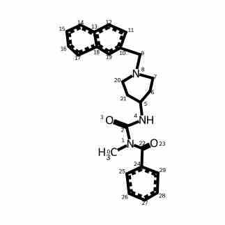 CN(C(=O)NC1CCN(Cc2ccc3ccccc3c2)CC1)C(=O)c1ccccc1